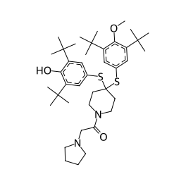 COc1c(C(C)(C)C)cc(SC2(Sc3cc(C(C)(C)C)c(O)c(C(C)(C)C)c3)CCN(C(=O)CN3CCCC3)CC2)cc1C(C)(C)C